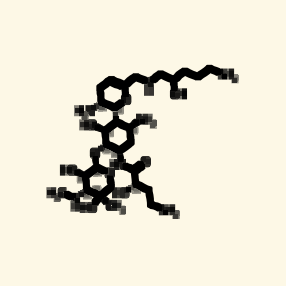 CN[C@@H]1[C@@H](O)[C@@H](O[C@H]2[C@H](NC(=O)[C@@H](O)CCN)C[C@H](N)C([C@H]3OC(CNCC(O)CCCN)=CC[C@H]3N)[C@@H]2O)OC[C@]1(C)O